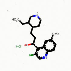 COc1ccc2ncc(F)c(C(O)CCC3CCNCC3CC(=O)O)c2c1.Cl